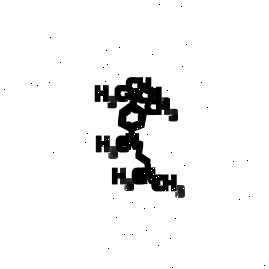 Cc1cc(N(C)CCCN(C)C)ccc1C(C)(C)C